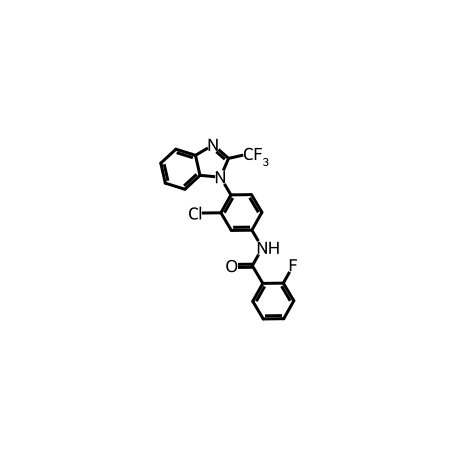 O=C(Nc1ccc(-n2c(C(F)(F)F)nc3ccccc32)c(Cl)c1)c1ccccc1F